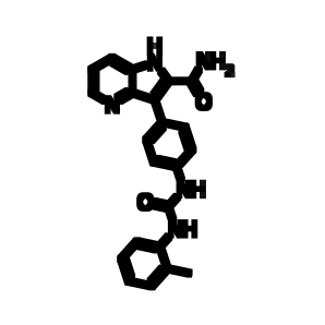 Cc1ccccc1NC(=O)Nc1ccc(-c2c(C(N)=O)[nH]c3cccnc23)cc1